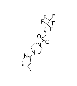 Cc1ccnc(N2CCN(S(=O)(=O)C=CC(F)(F)C(F)(F)F)CC2)c1